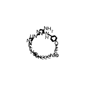 Nc1cnc2nc1Nc1ccc(cc1)OCCCC(=O)NCCCN1CCN(CC1)CCn1cc(cn1)N2